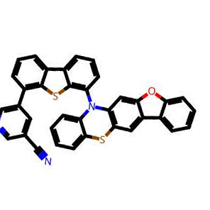 N#Cc1cncc(-c2cccc3c2sc2c(N4c5ccccc5Sc5cc6c(cc54)oc4ccccc46)cccc23)c1